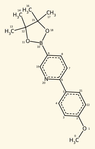 COc1ccc(-c2ccc(B3OC(C)(C)C(C)(C)O3)cn2)cc1